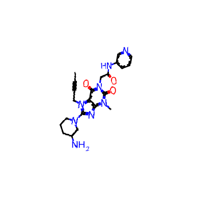 CC#CCn1c(N2CCCC(N)C2)nc2c1c(=O)n(CC(=O)Nc1cccnc1)c(=O)n2C